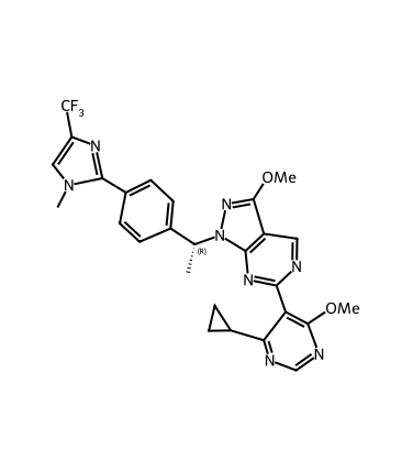 COc1ncnc(C2CC2)c1-c1ncc2c(OC)nn([C@H](C)c3ccc(-c4nc(C(F)(F)F)cn4C)cc3)c2n1